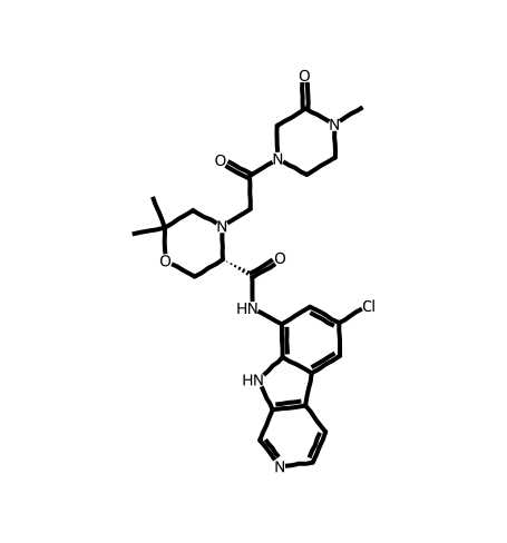 CN1CCN(C(=O)CN2CC(C)(C)OC[C@H]2C(=O)Nc2cc(Cl)cc3c2[nH]c2cnccc23)CC1=O